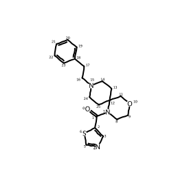 O=C(c1cncs1)N1CCOCC12CCN(CCc1ccccc1)CC2